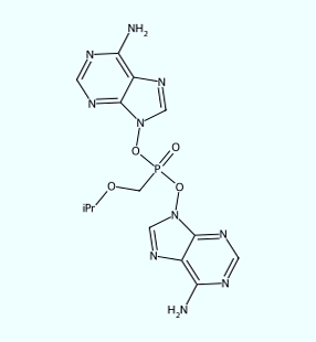 CC(C)OCP(=O)(On1cnc2c(N)ncnc21)On1cnc2c(N)ncnc21